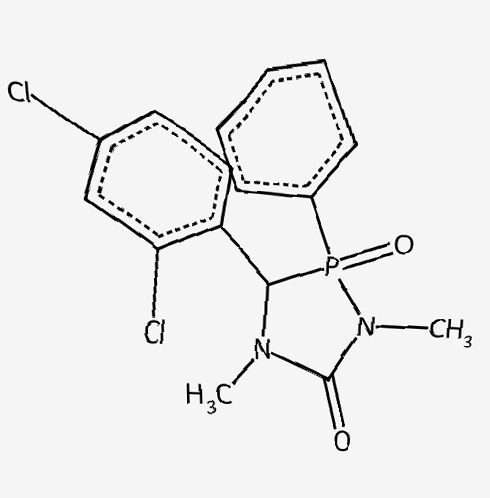 CN1C(=O)N(C)P(=O)(c2ccccc2)C1c1ccc(Cl)cc1Cl